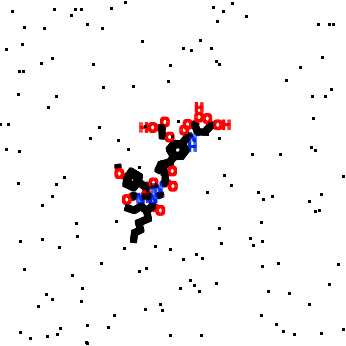 CCCCCC(C(=O)NCNC(=O)c1ccc(-c2ccc(C(=O)NC(CC(=O)O)C(=O)O)c(OCC(=O)O)c2)o1)C(CC)N(C=O)OC(=O)c1ccc(OC)cc1